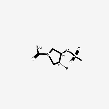 CCC(C)C(=O)N1C[C@@H](F)[C@H](OS(C)(=O)=O)C1